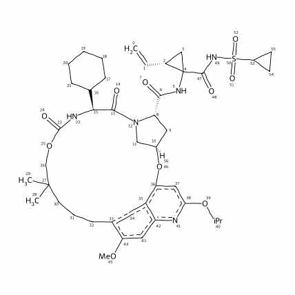 C=C[C@@H]1CC1(NC(=O)[C@@H]1C[C@@H]2CN1C(=O)[C@H](C1CCCCC1)NC(=O)OCC(C)(C)CCCc1cc3c(cc(OC(C)C)nc3cc1OC)O2)C(=O)NS(=O)(=O)C1CC1